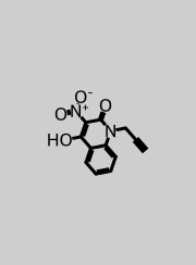 C#CCn1c(=O)c([N+](=O)[O-])c(O)c2ccccc21